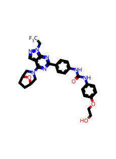 O=C(Nc1ccc(OCCO)cc1)Nc1ccc(-c2nc(N3CC4CCC(C3)O4)c3cnn(CC(F)(F)F)c3n2)cc1